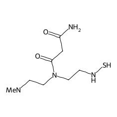 CNCCN(CCNS)C(=O)CC(N)=O